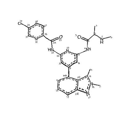 CNC(C)C(=O)Nc1cc(-c2cccc3nn(C)c(C)c23)cc(NC(=O)c2ccc(Cl)cn2)n1